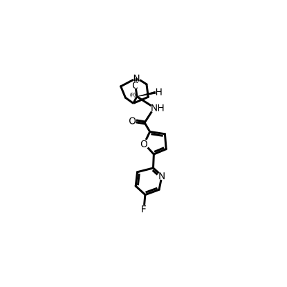 O=C(N[C@H]1CN2CCC1CC2)c1ccc(-c2ccc(F)cn2)o1